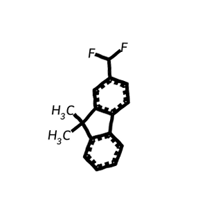 CC1(C)c2ccccc2-c2ccc(C(F)F)cc21